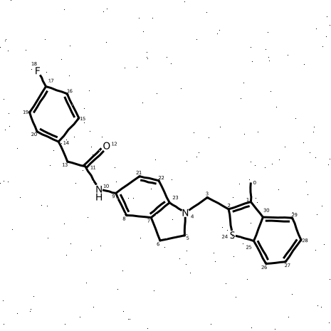 Cc1c(CN2CCc3cc(NC(=O)Cc4ccc(F)cc4)ccc32)sc2ccccc12